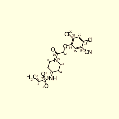 C=CS(=O)(=O)NC1CCN(C(=O)COc2cc(C#N)c(Cl)cc2Cl)CC1